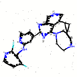 Fc1ccnc(F)c1Nc1cc(-c2nc(N3CCNCC3)c3c(C4CC4)cncc3n2)ccn1